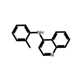 Cc1ccccc1Nc1ccnc2ccccc12